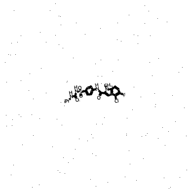 CC(C)NC(=O)NS(=O)(=O)c1ccc(NC(=O)c2cc3c(Cl)c(F)ccc3n2C)cc1